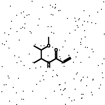 C=CC(=O)NC(C)C(C)OC